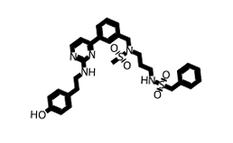 CS(=O)(=O)N(CCCNS(=O)(=O)Cc1ccccc1)Cc1cccc(-c2ccnc(NCCc3ccc(O)cc3)n2)c1